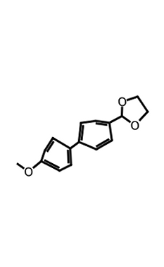 COc1ccc(-c2ccc(C3OCCO3)cc2)cc1